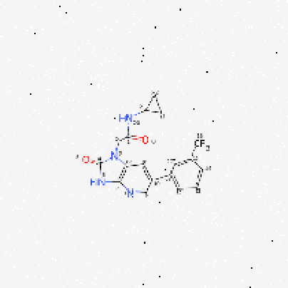 O=C(Cn1c(=O)[nH]c2ncc(-c3cccc(C(F)(F)F)c3)cc21)NC1CC1